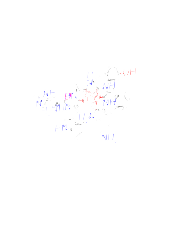 C[C@H](NC(=O)[C@@H](Cc1c[nH]c2ccccc12)NC(=O)[C@@H](N)Cc1cnc[nH]1)C(=O)N[C@@H](Cc1ccc(O)cc1)C(=O)N[C@H](Cc1ccccc1)C(=O)N[C@@H](CCCCN)C(N)=O